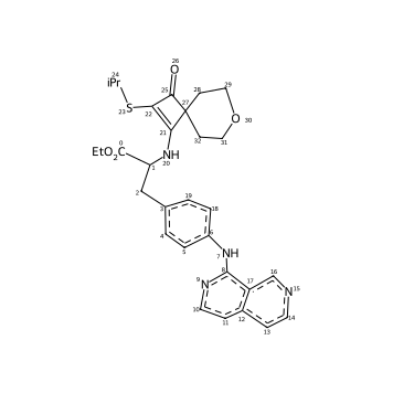 CCOC(=O)C(Cc1ccc(Nc2nccc3ccncc23)cc1)NC1=C(SC(C)C)C(=O)C12CCOCC2